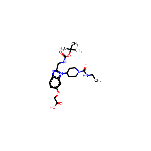 CCNC(=O)N1CCC(n2c(CNC(=O)OC(C)(C)C)nc3ccc(OCC(=O)O)cc32)CC1